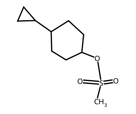 CS(=O)(=O)OC1CCC(C2CC2)CC1